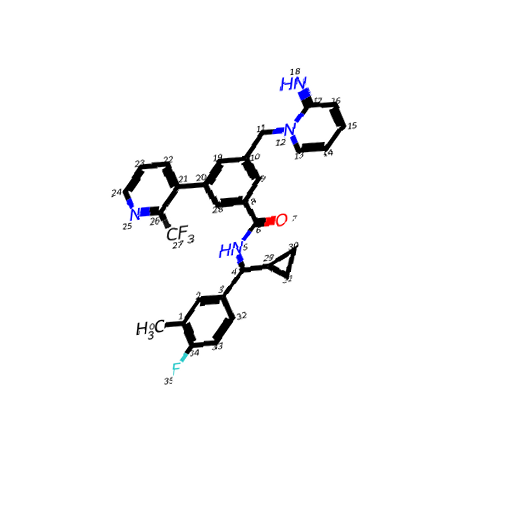 Cc1cc(C(NC(=O)c2cc(Cn3ccccc3=N)cc(-c3cccnc3C(F)(F)F)c2)C2CC2)ccc1F